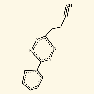 C#CCCc1nnc(-c2ccccc2)nn1